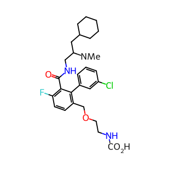 CNC(CNC(=O)c1c(F)ccc(COCCNC(=O)O)c1-c1cccc(Cl)c1)CC1CCCCC1